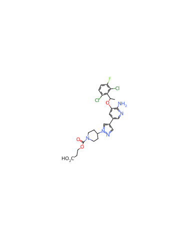 CC(Oc1cc(-c2cnn(C3CCN(C(=O)OCCC(=O)O)CC3)c2)cnc1N)c1c(Cl)ccc(F)c1Cl